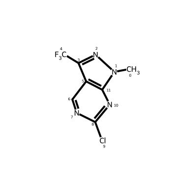 Cn1nc(C(F)(F)F)c2cnc(Cl)nc21